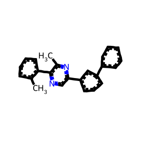 Cc1ccccc1-c1ncc(-c2cccc(-c3ccccc3)c2)nc1C